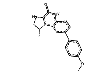 COc1ccc(-c2ccc3[nH]c(=O)c4c(c3c2)C(C)CN4)cc1